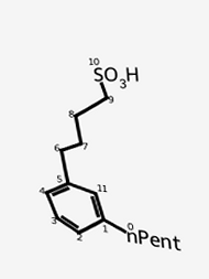 CCCCCc1cccc(CCCCS(=O)(=O)O)c1